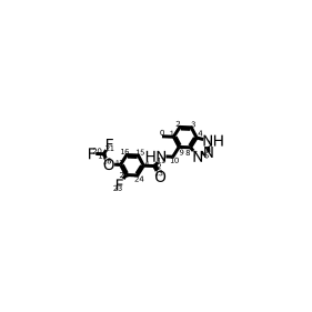 Cc1ccc2[nH]nnc2c1CNC(=O)c1ccc(OC(F)F)c(F)c1